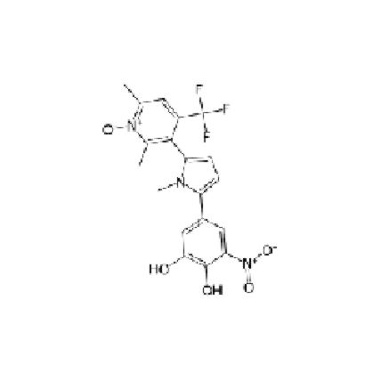 Cc1cc(C(F)(F)F)c(-c2ccc(-c3cc(O)c(O)c([N+](=O)[O-])c3)n2C)c(C)[n+]1[O-]